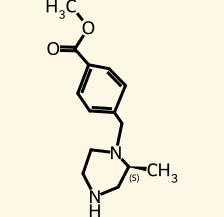 COC(=O)c1ccc(CN2CCNC[C@@H]2C)cc1